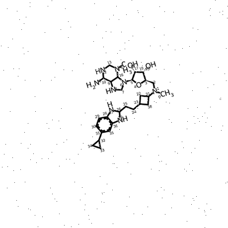 CN(C[C@H]1O[C@@H](N2CNC3C(N)NCN(C)C32)[C@H](O)[C@@H]1O)C1CC(CCC2Nc3ccc(C4CC4)cc3N2)C1